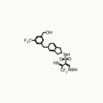 CN/C=C(\C(=N)C(F)(F)F)S(=O)(=O)N[C@H]1CC2=CCC(Cc3cc(CO)cc(C(F)(F)F)c3)C=C2C1